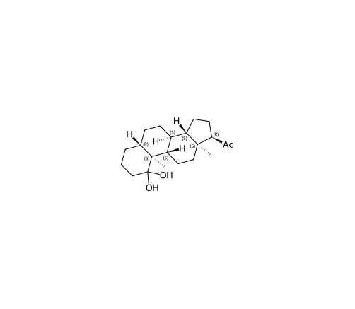 CC(=O)[C@@H]1CC[C@H]2[C@@H]3CC[C@H]4CCCC(O)(O)[C@]4(C)[C@H]3CC[C@]12C